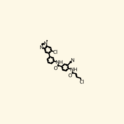 Cn1cnc2cc(-c3cccc(NC(=O)c4ccc(NC(=O)C=CCCl)c(C#N)c4)c3)c(Cl)cc21